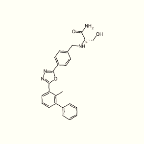 Cc1c(-c2ccccc2)cccc1-c1nnc(-c2ccc(CN[C@@H](CO)C(N)=O)cc2)o1